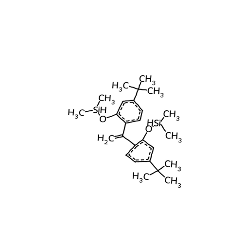 C=C(c1ccc(C(C)(C)C)cc1O[SiH](C)C)c1ccc(C(C)(C)C)cc1O[SiH](C)C